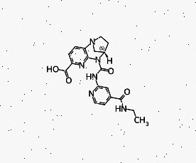 CCNC(=O)c1ccnc(NC(=O)N2c3nc(C(=O)O)ccc3N3CC[C@H]2C3)c1